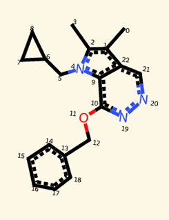 Cc1c(C)n(CC2CC2)c2c(OCc3ccccc3)nncc12